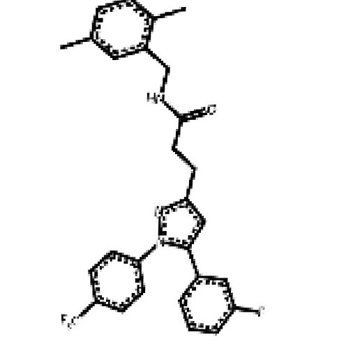 Cc1ccc(C)c(CNC(=O)CCc2cc(-c3cccc(F)c3)n(-c3ccc(C(F)(F)F)cc3)n2)c1